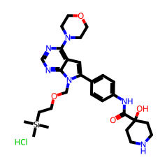 C[Si](C)(C)CCOCn1c(-c2ccc(NC(=O)C3(O)CCNCC3)cc2)cc2c(N3CCOCC3)ncnc21.Cl